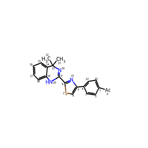 CC(=O)c1ccc(-c2csc(C3=NC(C)(C)c4ccccc4N3)n2)cc1